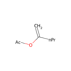 C=C(CCC)OC(C)=O